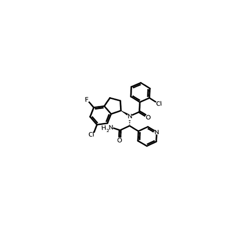 NC(=O)[C@@H](c1cccnc1)N(C(=O)c1ccccc1Cl)[C@@H]1CCc2c(F)cc(Cl)cc21